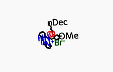 CCCCCCCCCCCCCCOc1cc(OC)ccc1CC(=O)Nc1ccccc1Cn1cc2cccc[n+]2c1.[Br-]